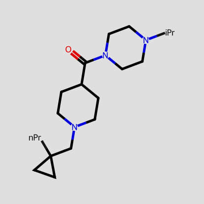 CCCC1(CN2CCC(C(=O)N3CCN(C(C)C)CC3)CC2)CC1